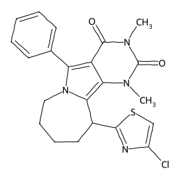 Cn1c(=O)c2c(-c3ccccc3)n3c(c2n(C)c1=O)C(c1nc(Cl)cs1)CCCC3